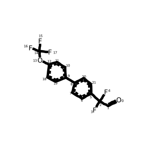 O=[C]C(F)(F)c1ccc(-c2ccc(OC(F)(F)F)cc2)cc1